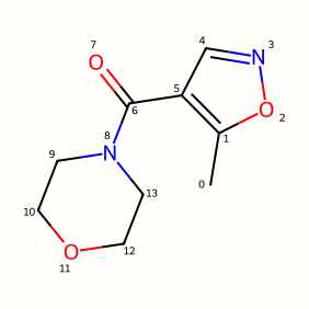 Cc1oncc1C(=O)N1CCOCC1